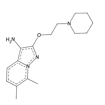 Cc1ccc2c(N)c(OCCN3CCCCC3)nn2c1C